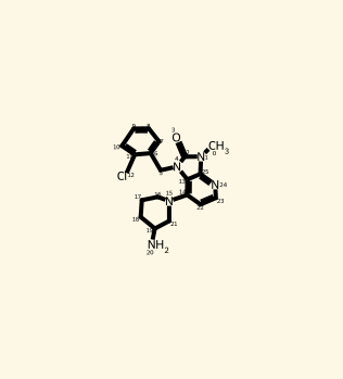 Cn1c(=O)n(Cc2ccccc2Cl)c2c(N3CCCC(N)C3)ccnc21